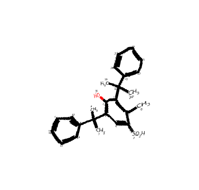 Cc1c(S(=O)(=O)O)cc(C(C)(C)c2ccccc2)c(O)c1C(C)(C)c1ccccc1